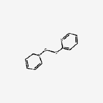 C1=CCN(SSc2ccccn2)C=C1